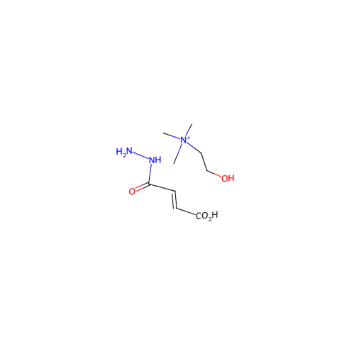 C[N+](C)(C)CCO.NNC(=O)C=CC(=O)O